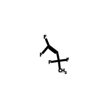 CC(F)(F)C=C(F)F